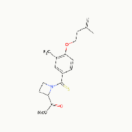 C=C(C)CCOc1ccc(C(=S)N2CCC2C(=O)OC)cc1C(F)(F)F